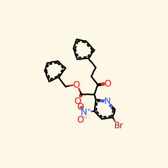 O=C(CCc1ccccc1)C(C(=O)OCc1ccccc1)c1ncc(Br)cc1[N+](=O)[O-]